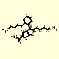 CCCCCc1ccccc1-c1c(CCCCC)sc2sc(C(=O)O)cc12